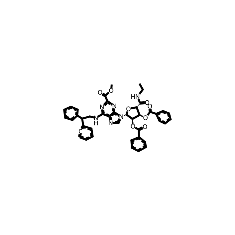 CCNC(=O)[C@H]1O[C@@H](n2cnc3c(NCC(c4ccccc4)c4ccccc4)nc(C(=O)OC)nc32)[C@H](OC(=O)c2ccccc2)[C@@H]1OC(=O)c1ccccc1